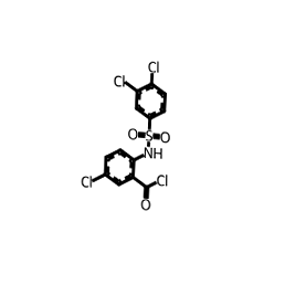 O=C(Cl)c1cc(Cl)ccc1NS(=O)(=O)c1ccc(Cl)c(Cl)c1